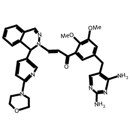 COc1cc(Cc2cnc(N)nc2N)cc(C(=O)/C=C/N2N=Cc3ccccc3C2c2ccc(N3CCOCC3)nc2)c1OC